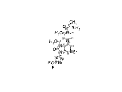 CCn1c(=O)n(-c2nnc(C(F)F)s2)c2cc(Br)cc(N3CCN(C(=O)C(C)C)[C@H](C)C3)c21